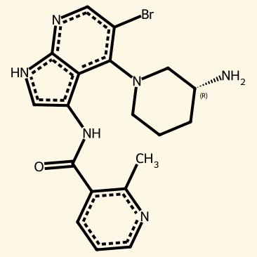 Cc1ncccc1C(=O)Nc1c[nH]c2ncc(Br)c(N3CCC[C@@H](N)C3)c12